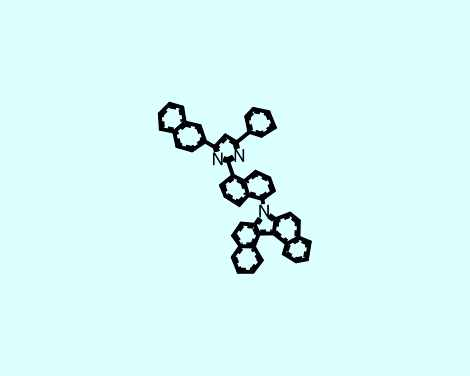 c1ccc(-c2cc(-c3ccc4ccccc4c3)nc(-c3cccc4c(-n5c6ccc7ccccc7c6c6c7ccccc7ccc65)cccc34)n2)cc1